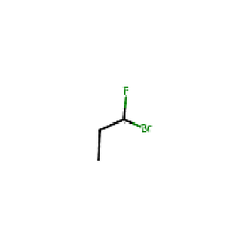 CC[C](F)Br